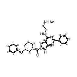 CC(=O)NCCNc1nc(-c2ccccc2)nc2[nH]c(C(=O)N3CCCC(Oc4ccccc4)C3)cc12